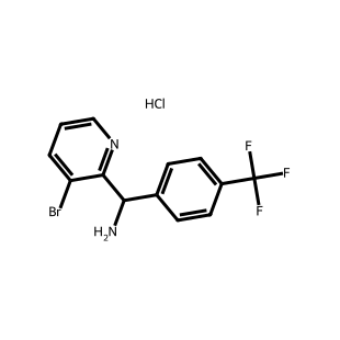 Cl.NC(c1ccc(C(F)(F)F)cc1)c1ncccc1Br